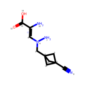 N#CC12CC(CN(N)/C=C(\N)C(=O)O)(C1)C2